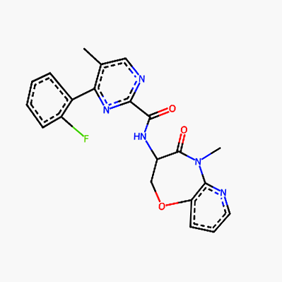 Cc1cnc(C(=O)NC2COc3cccnc3N(C)C2=O)nc1-c1ccccc1F